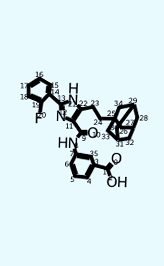 O=C(O)c1cccc(NC(=O)c2nc(-c3ccccc3F)[nH]c2CCC23CC4CC(CC(C4)C2)C3)c1